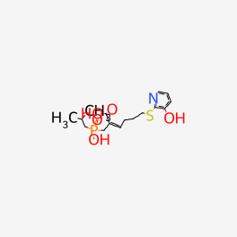 CC(C)CP(=O)(O)C/C(=C/CCCSc1ncccc1O)C(=O)O